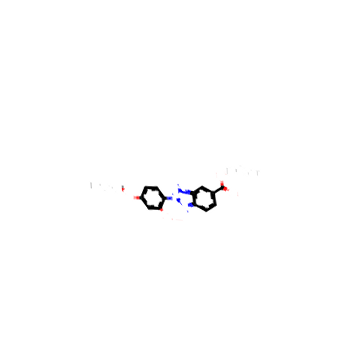 CCCCCCCCOC(=O)c1ccc2nn(-c3ccc(OCCCCCCCC)cc3O)nc2c1